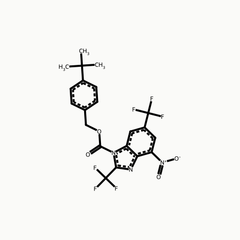 CC(C)(C)c1ccc(COC(=O)n2c(C(F)(F)F)nc3c([N+](=O)[O-])cc(C(F)(F)F)cc32)cc1